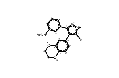 CC(=O)Nc1cccc(-c2n[nH]c(C)c2-c2ccc3c(c2)OCCO3)c1